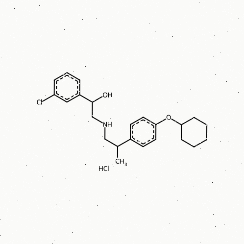 CC(CNCC(O)c1cccc(Cl)c1)c1ccc(OC2CCCCC2)cc1.Cl